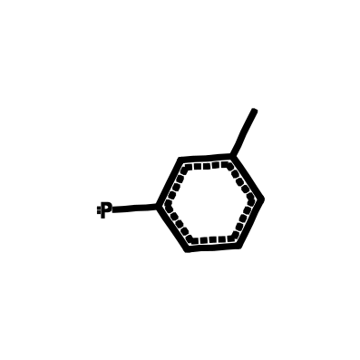 Cc1cccc([P])c1